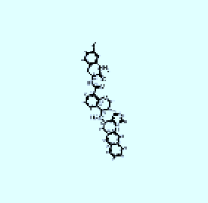 NC(=O)[C@H](Cc1ccc(Cl)cc1)NC(=O)c1cccc2c1OCCC2[AsH]C(Cc1ccc2ccccc2c1)c1cnc[nH]1